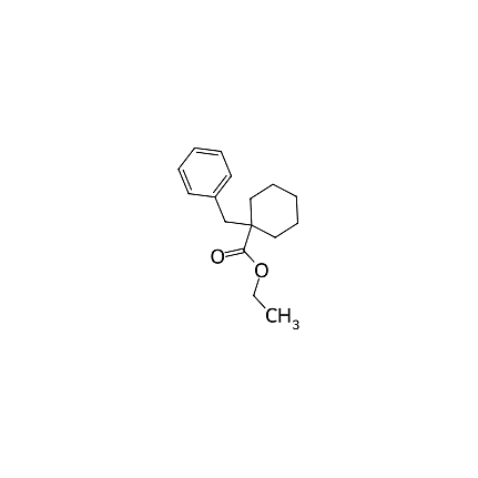 CCOC(=O)C1(Cc2ccccc2)CCCCC1